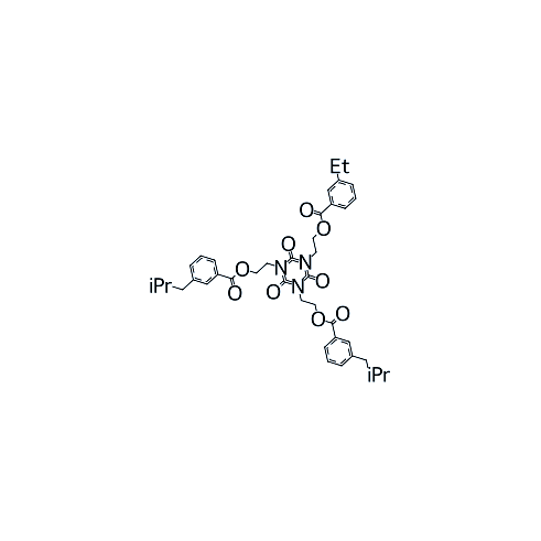 CCc1cccc(C(=O)OCCn2c(=O)n(CCOC(=O)c3cccc(CC(C)C)c3)c(=O)n(CCOC(=O)c3cccc(CC(C)C)c3)c2=O)c1